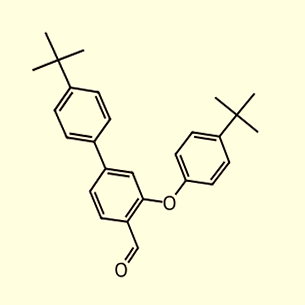 CC(C)(C)c1ccc(Oc2cc(-c3ccc(C(C)(C)C)cc3)ccc2C=O)cc1